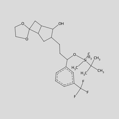 CC(C)(C)[Si](C)(C)OC(CCC1CC2C(CC23OCCO3)C1O)c1cccc(C(F)(F)F)c1